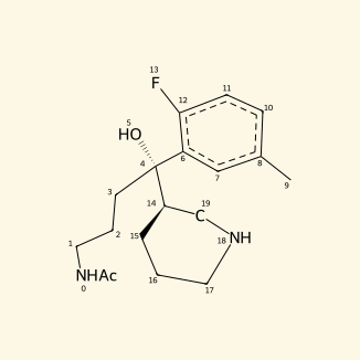 CC(=O)NCCC[C@@](O)(c1cc(C)ccc1F)[C@@H]1CCCNC1